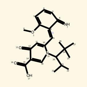 COC1=CC=CC(=N)/C1=C/c1cc(=O)c(C(=O)O)cn1C(C(C)C)C(C)(C)C